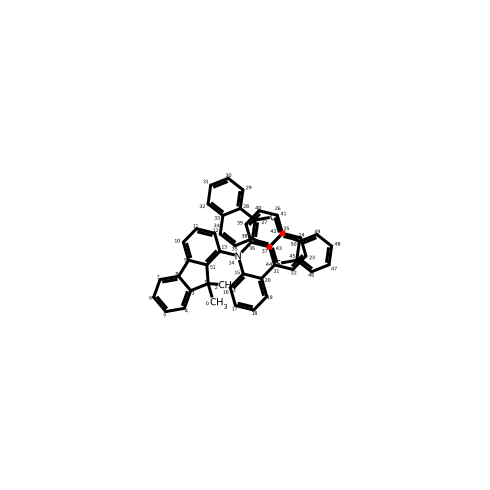 CC1(C)c2ccccc2-c2cccc(N(c3ccccc3-c3cccc4oc5c6ccccc6ccc5c34)c3cccc4c3sc3ccccc34)c21